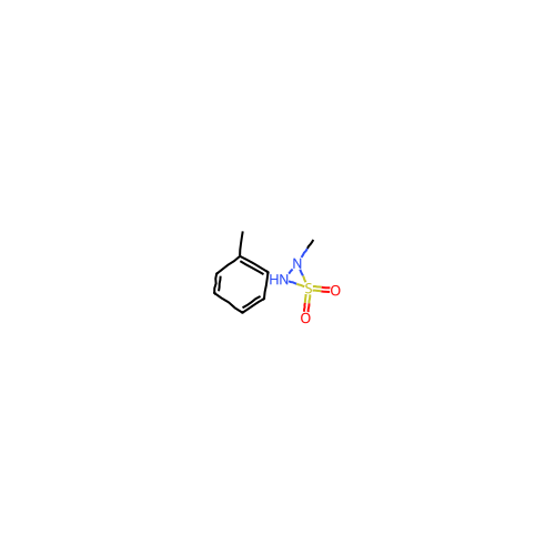 CN1NS1(=O)=O.Cc1ccccc1